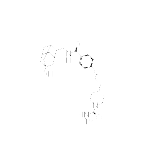 CC(C)NC(=O)N1CCC(CCOc2ccc(C(=O)NCC3C4CC5CC3CC(O)(C5)C4)cc2)CC1